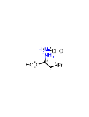 CC(C)C[C@H](N)C(=O)O.NC=O